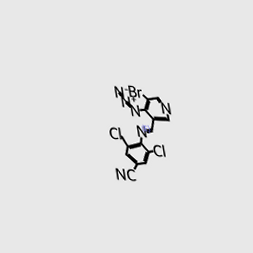 N#Cc1cc(Cl)c(/N=C/c2cncc(Br)c2N=[N+]=[N-])c(Cl)c1